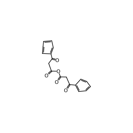 O=C(CC(=O)c1ccccc1)OC(=O)CC(=O)c1ccccc1